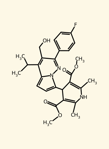 COC(=O)C1=C(C)NC(C)=C(C(=O)OC)C1c1ccc2c(C(C)C)c(CO)c(-c3ccc(F)cc3)nn12